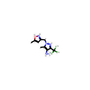 Cc1cc(Cn2nc(C(F)(F)F)c(N)c2C)no1